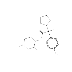 CC1CN(C)CCC1OC(=O)C(C)(c1ccc(C#N)cc1)C1CCCC1